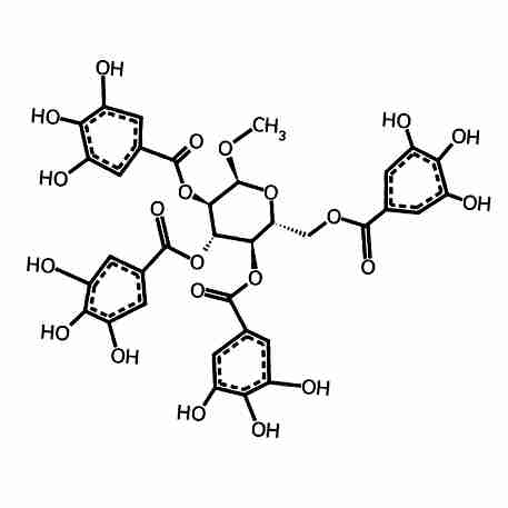 CO[C@H]1O[C@H](COC(=O)c2cc(O)c(O)c(O)c2)[C@@H](OC(=O)c2cc(O)c(O)c(O)c2)[C@H](OC(=O)c2cc(O)c(O)c(O)c2)[C@H]1OC(=O)c1cc(O)c(O)c(O)c1